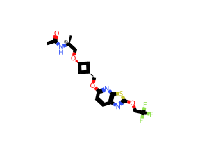 CC(=O)N[C@@H](C)CO[C@H]1C[C@H](COc2ccc3nc(OCC(F)(F)F)sc3n2)C1